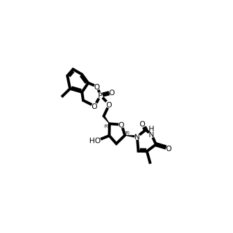 Cc1cccc2c1COP(=O)(OC[C@H]1O[C@@H](n3cc(C)c(=O)[nH]c3=O)CC1O)O2